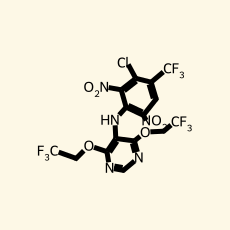 O=[N+]([O-])c1cc(C(F)(F)F)c(Cl)c([N+](=O)[O-])c1Nc1c(OCC(F)(F)F)ncnc1OCC(F)(F)F